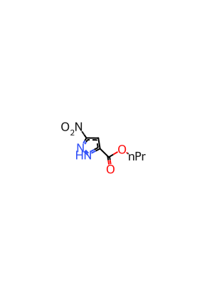 CCCOC(=O)c1cc([N+](=O)[O-])n[nH]1